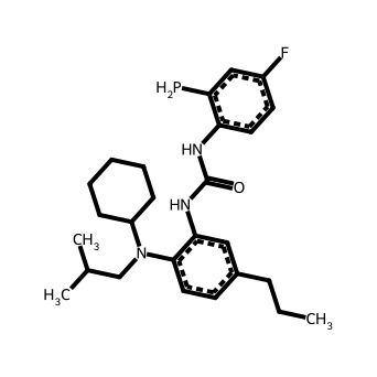 CCCc1ccc(N(CC(C)C)C2CCCCC2)c(NC(=O)Nc2ccc(F)cc2P)c1